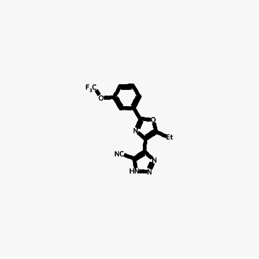 CCc1oc(-c2cccc(OC(F)(F)F)c2)nc1-c1nn[nH]c1C#N